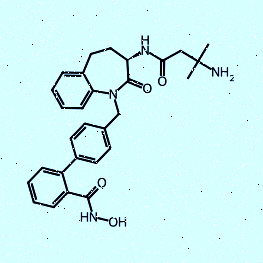 CC(C)(N)CC(=O)N[C@@H]1CCc2ccccc2N(Cc2ccc(-c3ccccc3C(=O)NO)cc2)C1=O